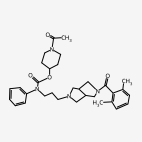 CC(=O)N1CCC(OC(=O)N(CCCN2CC3CN(C(=O)c4c(C)cccc4C)CC3C2)c2ccccc2)CC1